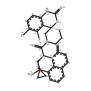 NC(=O)c1cccc2ccc(=O)n([C@@H](CC3CC3)C(=O)N3CCC[C@@]4(C3)OC(=O)Nc3ccc(Cl)c(F)c34)c12